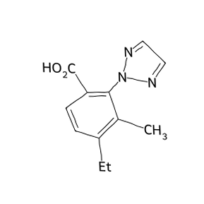 CCc1ccc(C(=O)O)c(-n2nccn2)c1C